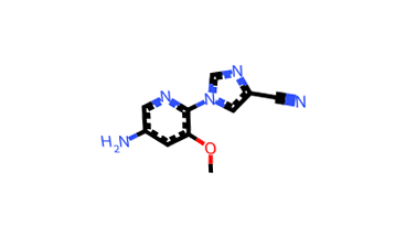 COc1cc(N)cnc1-n1cnc(C#N)c1